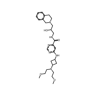 COCCN(CCOC)C1CC(Nc2cc(C(=O)NCC(O)CN3CCc4ccccc4C3)ncn2)C1